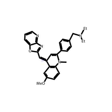 CCN(CC)Cc1ccc(C2=C/C(=C\c3nc4ncccc4o3)c3cc(OC)ccc3N2C)cc1